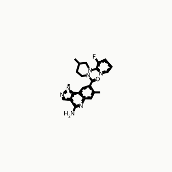 Cc1cc2nc(N)c3cnn(C)c3c2cc1C(=O)N1CCC(C)CN1c1ncccc1F